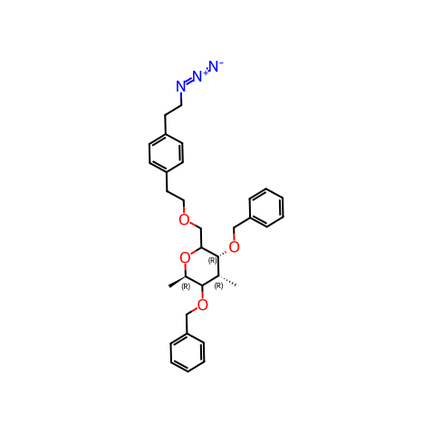 C[C@@H]1C(OCc2ccccc2)[C@@H](C)OC(COCCc2ccc(CCN=[N+]=[N-])cc2)[C@@H]1OCc1ccccc1